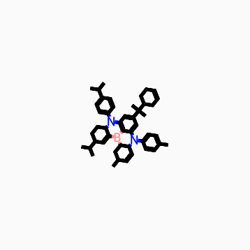 Cc1ccc(N2c3cc(C(C)(C)C4CC=CCC4)cc4c3B(C3=CC(C(C)C)CCC3N4c3ccc(C(C)C)cc3)C3CC(C)C=CC32)cc1